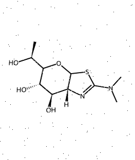 C[C@H](O)C1OC2SC(N(C)C)=N[C@@H]2[C@@H](O)[C@@H]1O